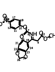 COC(=O)CC(NC(=O)Oc1ccc([N+](=O)[O-])cc1)c1ccc2c(c1)OCO2